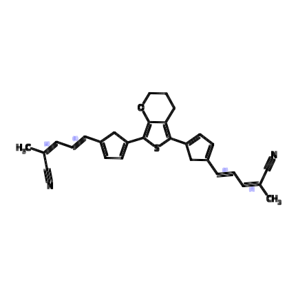 C/C(C#N)=C/C=C/C1=CC=C(c2sc(C3=CC=C(/C=C/C=C(/C)C#N)C3)c3c2CCCO3)C1